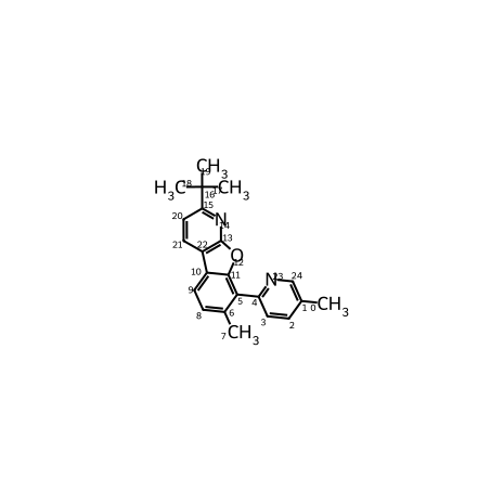 Cc1ccc(-c2c(C)ccc3c2oc2nc(C(C)(C)C)ccc23)nc1